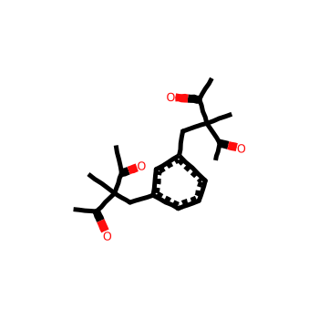 CC(=O)C(C)(Cc1cccc(CC(C)(C(C)=O)C(C)=O)c1)C(C)=O